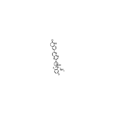 NC[C@]1(c2cc(F)ccc2F)[C@@H]2CCN(c3cnc4nc(-c5ccc6c(c5)CCC(=O)N6)ccc4n3)C[C@@H]21